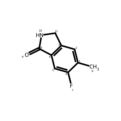 Cc1cc2c(cc1F)C(=O)NC2